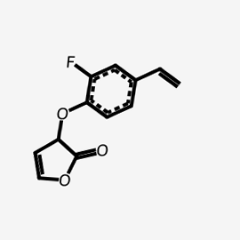 C=Cc1ccc(OC2C=COC2=O)c(F)c1